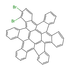 Brc1ccc2c(c1Br)c1c3ccccc3c3c4ccccc4c4c5ccccc5c5c6ccccc6c6c7ccccc7c2c2c6c5c4c3c12